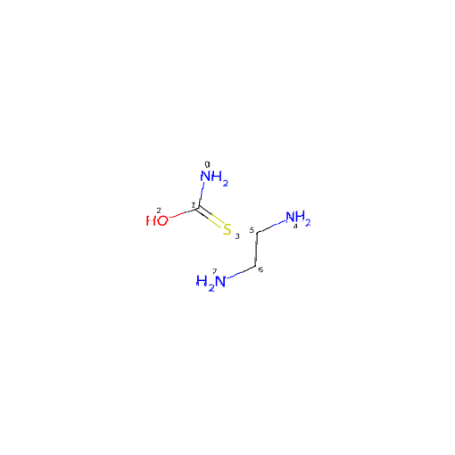 NC(O)=S.NCCN